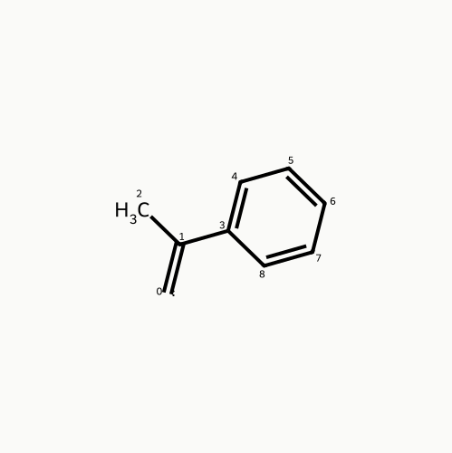 [C]=C(C)c1ccccc1